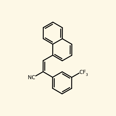 N#CC(=Cc1cccc2ccccc12)c1cccc(C(F)(F)F)c1